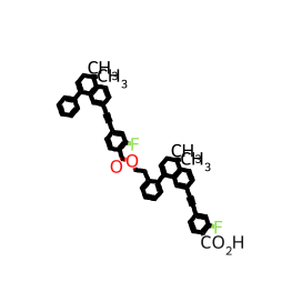 CC1(C)CC=C(c2ccccc2)c2cc(C#Cc3ccc(C(=O)OCCc4ccccc4C4=CCC(C)(C)c5ccc(C#Cc6ccc(C(=O)O)c(F)c6)cc54)c(F)c3)ccc21